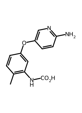 Cc1ccc(Oc2ccc(N)nc2)cc1NC(=O)O